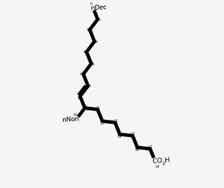 CCCCCCCCCCCCCCCCC=CC(CCCCCCCCC)CCCCCCCC(=O)O